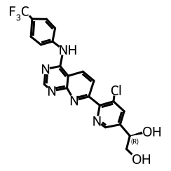 OC[C@H](O)c1cnc(-c2ccc3c(Nc4ccc(C(F)(F)F)cc4)ncnc3n2)c(Cl)c1